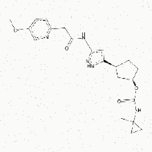 COc1ccc(CC(=O)Nc2cc([C@H]3CC[C@@H](OC(=O)NC4(C)CC4)C3)[nH]n2)nc1